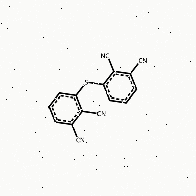 N#Cc1cccc(Sc2cccc(C#N)c2C#N)c1C#N